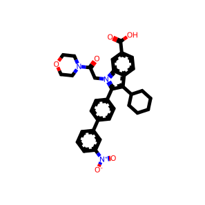 O=C(O)c1ccc2c(C3CCCCC3)c(-c3ccc(-c4cccc([N+](=O)[O-])c4)cc3)n(CC(=O)N3CCOCC3)c2c1